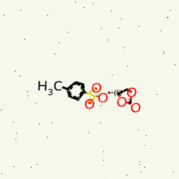 Cc1ccc(S(=O)(=O)OC[C@@H]2COC(=O)O2)cc1